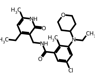 CCc1cc(C)[nH]c(=O)c1CNC(=O)c1cc(Cl)cc(N(CC)C2CCOCC2)c1C